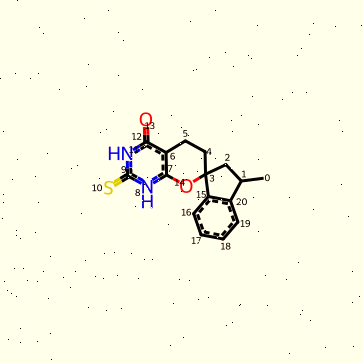 CC1CC2(CCc3c([nH]c(=S)[nH]c3=O)O2)c2ccccc21